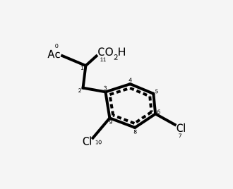 CC(=O)C(Cc1ccc(Cl)cc1Cl)C(=O)O